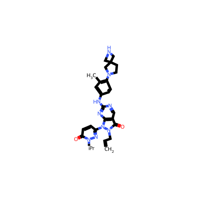 C=CCn1c(=O)c2cnc(Nc3ccc(N4CCC5(CNC5)C4)c(C)c3)nc2n1-c1ccc(=O)n(C(C)C)n1